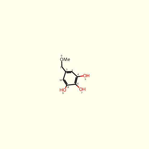 COCc1cc(O)c(O)c(O)c1